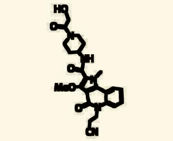 COc1c(C(=O)NC2CCN(C(=O)CO)CC2)n(C)c2c1c(=O)n(CCC#N)c1ccccc21